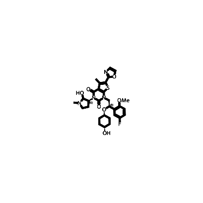 COc1ccc(F)cc1[C@H](Cn1c(=O)n([C@H]2CCN(C)C2O)c(=O)c2c(C)c(-c3ncco3)sc21)O[C@H]1CC[C@@H](O)CC1